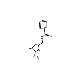 C[C@@H]1S[C@H](COC(=O)c2ccccc2)C[C@@H]1F